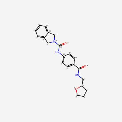 O=C(NC[C@H]1CCCO1)c1ccc(NC(=O)N2Cc3ccccc3C2)cc1